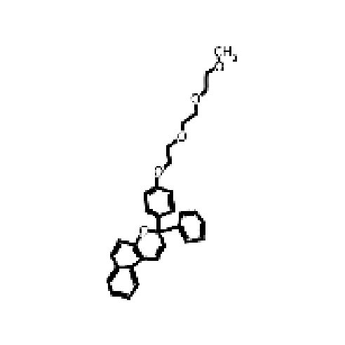 COCCOCCOCCOc1ccc(C2(c3ccccc3)C=Cc3c(ccc4ccccc34)O2)cc1